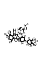 CCOC(=O)C[C@H](NC(=O)Nc1c(O)c(C)cn(C)c1=O)c1cccc(-c2ccc3c(c2)OCO3)c1